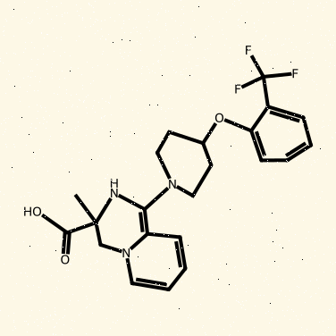 CC1(C(=O)O)CN2C=CC=CC2=C(N2CCC(Oc3ccccc3C(F)(F)F)CC2)N1